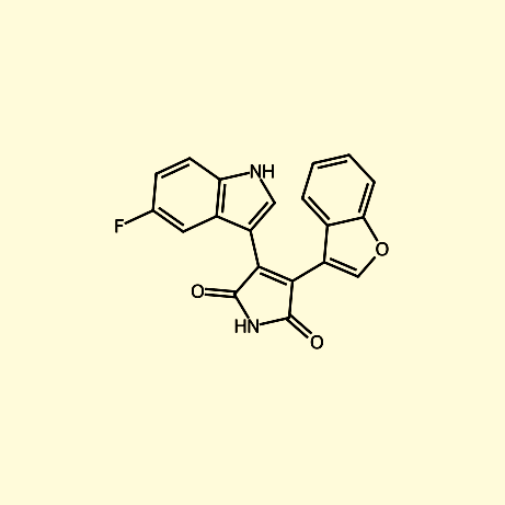 O=C1NC(=O)C(c2coc3ccccc23)=C1c1c[nH]c2ccc(F)cc12